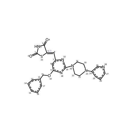 O=C1NC(=O)/C(=C/c2cc(OCc3ccccc3)nc(N3CCN(c4cccnc4)CC3)n2)S1